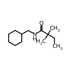 CCC(C)(C)C(=O)NCC1CCCCC1